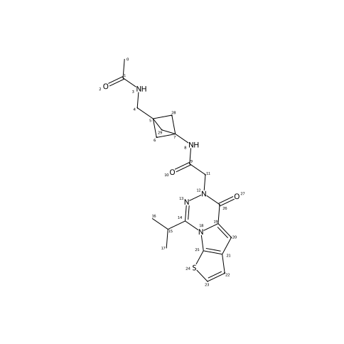 CC(=O)NCC12CC(NC(=O)Cn3nc(C(C)C)n4c(cc5ccsc54)c3=O)(C1)C2